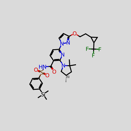 C[C@@H]1CN(c2nc(-n3ccc(OCCC4CC4C(F)(F)F)n3)ccc2C(=O)NS(=O)(=O)c2cccc([Si](C)(C)C)c2)C(C)(C)C1